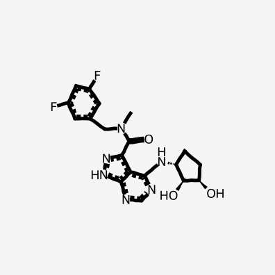 CN(Cc1cc(F)cc(F)c1)C(=O)c1n[nH]c2ncnc(N[C@@H]3CC[C@@H](O)[C@H]3O)c12